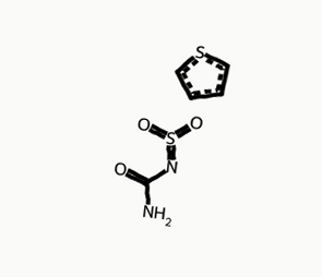 NC(=O)N=S(=O)=O.c1ccsc1